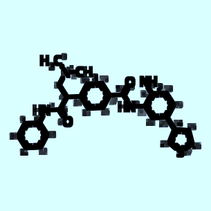 CN(C)CC(C(=O)Nc1ccccc1)c1ccc(C(=O)Nc2cc(-c3ccsc3)ccc2N)cc1